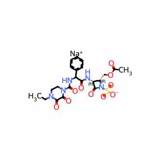 CCN1CCN(C(=O)NC(C(=O)N[C@H]2C(=O)N(S(=O)(=O)[O-])[C@H]2COC(C)=O)c2ccccc2)C(=O)C1=O.[Na+]